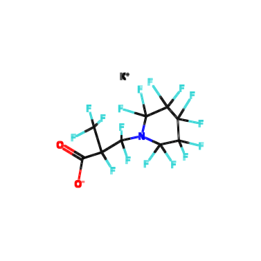 O=C([O-])C(F)(C(F)(F)F)C(F)(F)N1C(F)(F)C(F)(F)C(F)(F)C(F)(F)C1(F)F.[K+]